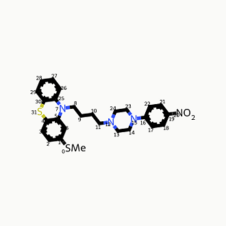 CSc1ccc2c(c1)N(CCCCN1CCN(c3ccc([N+](=O)[O-])cc3)CC1)c1ccccc1S2